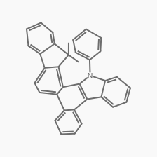 CC1(C)c2ccccc2-c2ccc3c4ccccc4c4c5ccccc5n(-c5ccccc5)c4c3c21